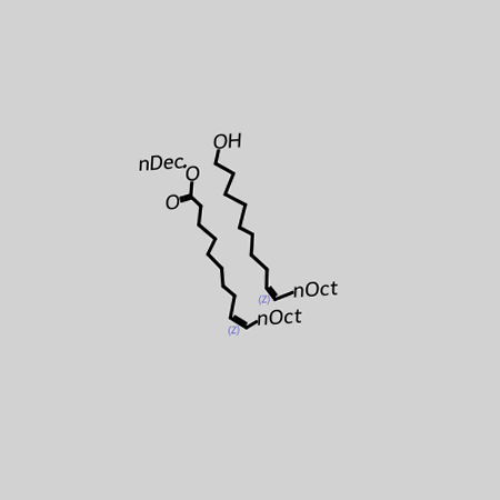 CCCCCCCC/C=C\CCCCCCCC(=O)OCCCCCCCCCC.CCCCCCCC/C=C\CCCCCCCCO